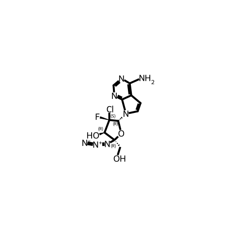 [N-]=[N+]=N[C@]1(CO)O[C@@H](n2ccc3c(N)ncnc32)[C@@](F)(Cl)[C@@H]1O